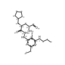 CCCNc1nc(CF)nc(NNC(=O)[C@@H](CC2CCCC2)CN(O)C=O)c1F